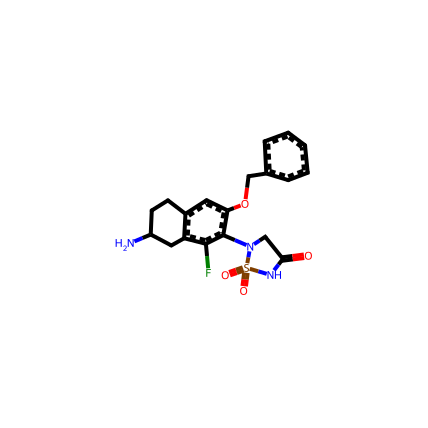 NC1CCc2cc(OCc3ccccc3)c(N3CC(=O)NS3(=O)=O)c(F)c2C1